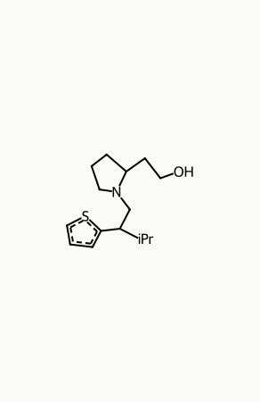 [CH2]C(C)C(CN1CCCC1CCO)c1cccs1